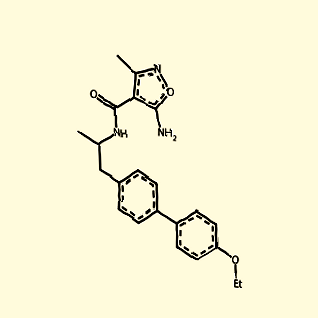 CCOc1ccc(-c2ccc(CC(C)NC(=O)c3c(C)noc3N)cc2)cc1